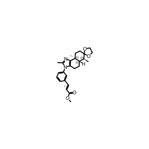 COC(=O)/C=C/c1cccc(-n2c(C)nc3c2CC[C@H]2[C@H](C)C4(CC[C@]32C)OCCO4)c1